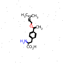 C=C(OCC[SiH](C)C)c1ccc(C[C@H](N)C(=O)O)cc1